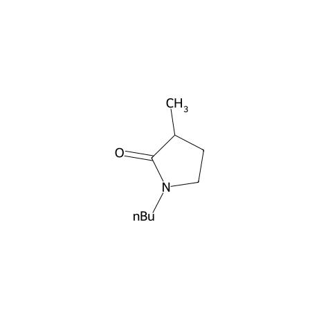 CCCCN1CCC(C)C1=O